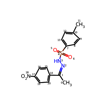 CC(=NNS(=O)(=O)c1ccc(C)cc1)c1ccc([N+](=O)[O-])cc1